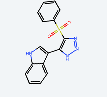 O=S(=O)(c1ccccc1)c1nn[nH]c1-c1c[nH]c2ccccc12